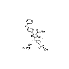 COC(=O)c1c(-c2ccc(Oc3ccccc3)cc2)nc(C(CCO[Si](C)(C)C(C)(C)C)C2CCN(C(=O)OC(C)(C)C)C2)n1N